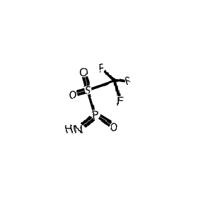 N=P(=O)S(=O)(=O)C(F)(F)F